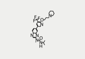 CC(C)NC(=O)N(C)c1cnc2ccc(-c3cnc(OCCCN4CCCCC4)c(C(F)(F)F)c3)cc2n1